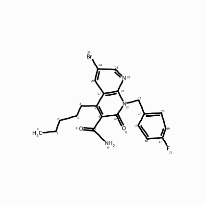 CCCCCc1c(C(N)=O)c(=O)n(Cc2ccc(F)cc2)c2ncc(Br)cc12